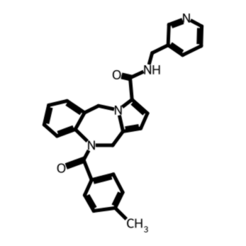 Cc1ccc(C(=O)N2Cc3ccc(C(=O)NCc4cccnc4)n3Cc3ccccc32)cc1